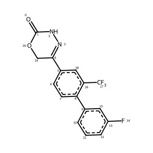 O=C1NN=C(c2ccc(-c3cccc(F)c3)c(C(F)(F)F)c2)CO1